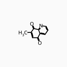 CC1=CC(=O)c2cccnc2C1=O